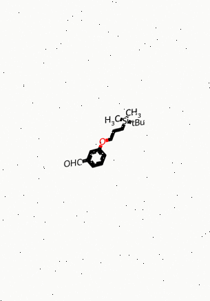 CC(C)(C)[Si](C)(C)CCCOc1cccc(C=O)c1